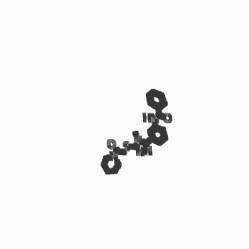 Cn1c(SCC(=O)N2CCCCC2)nnc1-c1cccc(NC(=O)c2ccccc2)c1